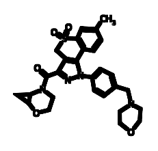 Cc1ccc2c(c1)S(=O)(=O)Cc1c(C(=O)N3CCOC4CC43)nn(-c3ccc(CN4CCOCC4)cc3)c1-2